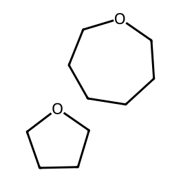 C1CCCOCC1.C1CCOC1